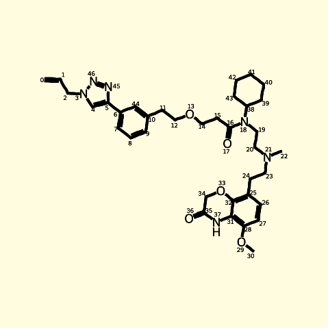 C=CCn1cc(-c2cccc(CCOCCC(=O)N(CCN(C)CCc3ccc(OC)c4c3OCC(=O)N4)C3CCCCC3)c2)nn1